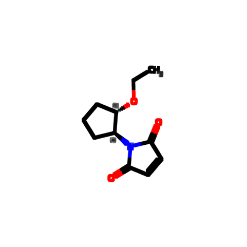 CCO[C@H]1CCC[C@@H]1N1C(=O)C=CC1=O